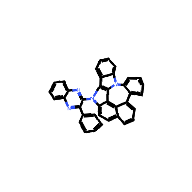 c1ccc(-c2nc3ccccc3nc2-n2c3ccc4cccc5c6ccccc6n6c7ccccc7c2c6c3c45)cc1